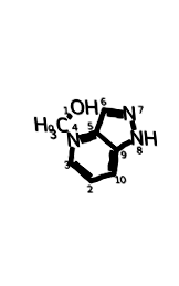 CO.c1cnc2cn[nH]c2c1